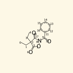 CCC1(CC)C(=O)ON(C(=O)c2ccccc2)C1=O